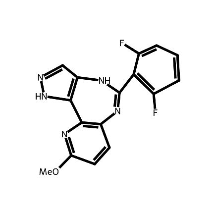 COc1ccc2c(n1)-c1[nH]ncc1NC(c1c(F)cccc1F)=N2